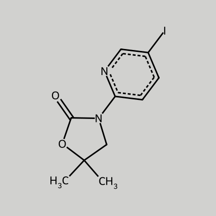 CC1(C)CN(c2ccc(I)cn2)C(=O)O1